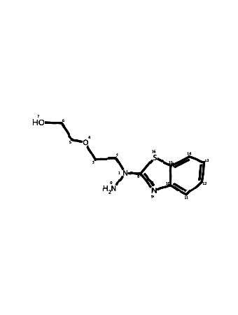 NN(CCOCCO)c1nc2ccccc2s1